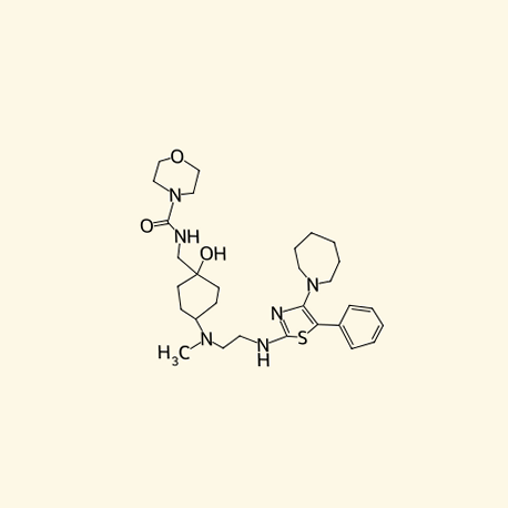 CN(CCNc1nc(N2CCCCCC2)c(-c2ccccc2)s1)C1CCC(O)(CNC(=O)N2CCOCC2)CC1